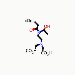 CCCCCCCCCCCC(=O)N(CCN(CC(=O)O)CC(=O)O)C(C)O